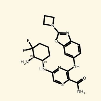 NC(=O)c1ncc(N[C@@H]2CCCC(F)(F)[C@@H]2N)nc1Nc1ccc2nc(N3CCC3)oc2c1